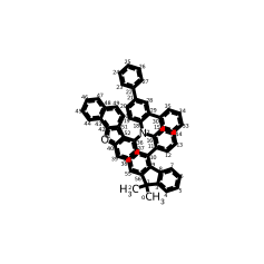 CC1(C)c2ccccc2-c2c(-c3ccccc3N(c3ccc(-c4ccccc4)cc3-c3ccccc3)c3cccc4oc5c6ccccc6ccc5c34)cccc21